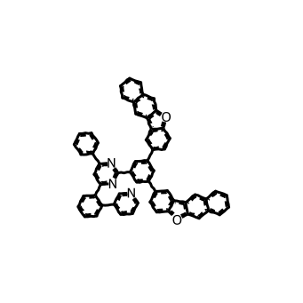 c1ccc(-c2cc(-c3ccccc3-c3cccnc3)nc(-c3cc(-c4ccc5oc6cc7ccccc7cc6c5c4)cc(-c4ccc5oc6cc7ccccc7cc6c5c4)c3)n2)cc1